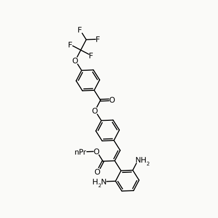 CCCOC(=O)C(=Cc1ccc(OC(=O)c2ccc(OC(F)(F)C(F)F)cc2)cc1)c1c(N)cccc1N